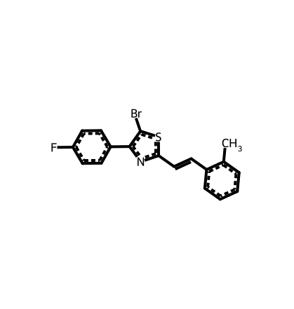 Cc1ccccc1C=Cc1nc(-c2ccc(F)cc2)c(Br)s1